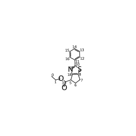 CCOC(=O)C1CCc2sc(-c3ccccc3)nc21